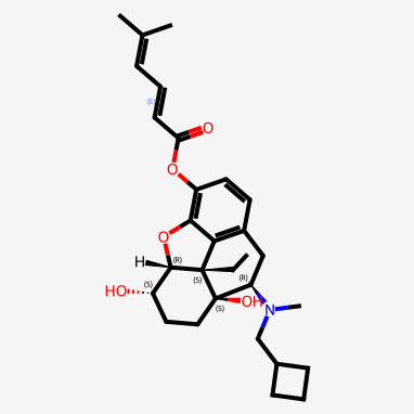 CC[C@]12c3c4ccc(OC(=O)/C=C/C=C(C)C)c3O[C@H]1[C@@H](O)CC[C@@]2(O)[C@H](N(C)CC1CCC1)C4